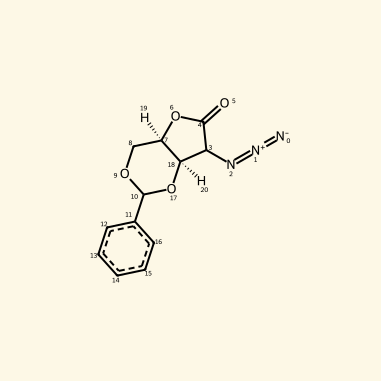 [N-]=[N+]=NC1C(=O)O[C@@H]2COC(c3ccccc3)O[C@H]12